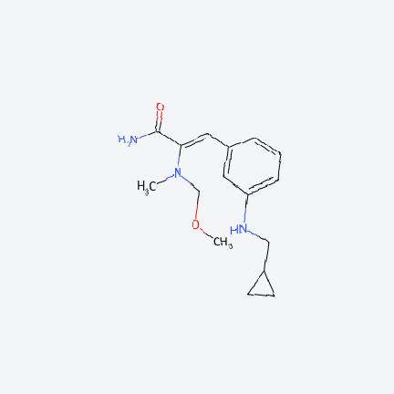 COCN(C)/C(=C\c1cccc(NCC2CC2)c1)C(N)=O